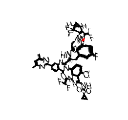 Cc1cc(C)nc(-c2ccc3c(=O)n(C4=CC=C(Cl)C5C(NS(=O)(=O)C6CC6)=NN(CC(F)F)C45)c([C@H](Cc4cc(F)cc(F)c4)NC(=O)Cn4nc(C(F)F)c5c4C(F)(F)[C@@H]4C[C@H]54)nc3c2)n1